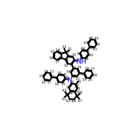 Cc1cc2c(cc1N(c1ccc(-c3ccccc3)cc1)c1cc(-c3ccccc3)cc(-c3cc4c(cc3Nc3ccc(-c5ccccc5)cc3)C(C)(C)c3ccccc3-4)c1)C(C)(C)CCC2(C)C